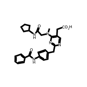 CN(CC(=O)NC1CCCC1)c1nc(Cc2ccc(NC(=O)c3ccccc3)cc2)ncc1CC(=O)O